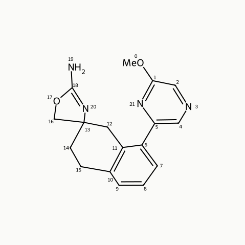 COc1cncc(-c2cccc3c2CC2(CC3)COC(N)=N2)n1